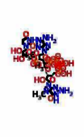 COC[C@H]1[C@@H](O)[C@H](n2c[n+](C)c3c(=O)[nH]c(N)nc32)O[C@@H]1COP(=O)(O)OP(=O)(O)OP(=O)(O)OP(=O)(O)OCC1O[C@@H](n2cnc3c(N)ncnc32)[C@H](OC)[C@@H]1P(=O)([O-])OC[C@H]1O[C@@H](n2ccc(=O)[nH]c2=O)[C@H](O)[C@@H]1O